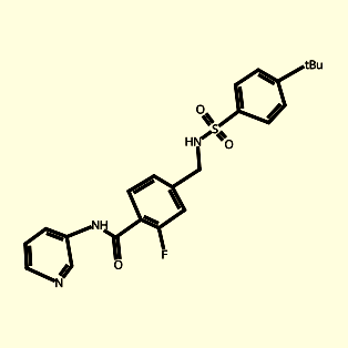 CC(C)(C)c1ccc(S(=O)(=O)NCc2ccc(C(=O)Nc3cccnc3)c(F)c2)cc1